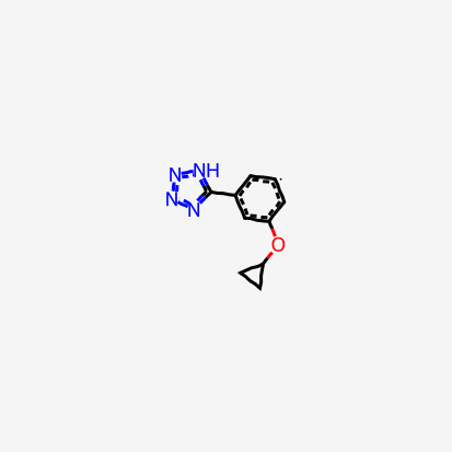 [c]1cc(OC2CC2)cc(-c2nnn[nH]2)c1